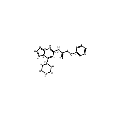 O=C(COc1ccccc1)Nc1cc(N2CCOCC2)n2nccc2n1